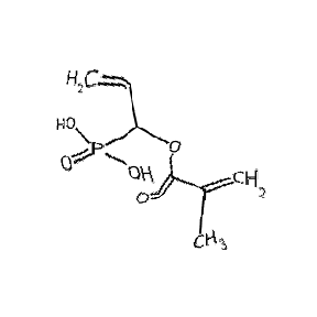 C=CC(OC(=O)C(=C)C)P(=O)(O)O